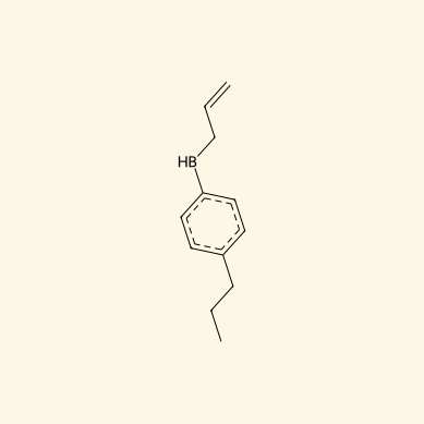 C=CCBc1ccc(CCC)cc1